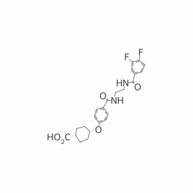 O=C(NCCNC(=O)c1ccc(F)c(F)c1)c1ccc(O[C@H]2CC[C@@H](C(=O)O)CC2)cc1